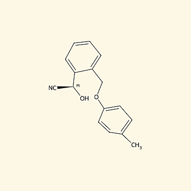 Cc1ccc(OCc2ccccc2[C@@H](O)C#N)cc1